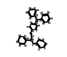 C(=NN(Cc1ccccc1)c1ccccc1)c1ccc(N(c2ccccc2)c2ccccc2)cc1